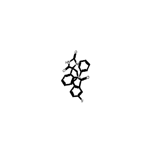 O=C1NC(=O)C(CN2Cc3ccc(F)cc3C2=O)(c2ccccc2Oc2ccccc2)N1